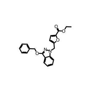 CCOC(=O)c1ccc(Cn2nc(OCc3ccccc3)c3ccccc32)o1